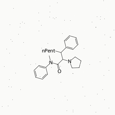 CCCCCC(c1ccccc1)C(C(=O)N(C)c1ccccc1)N1CCCC1